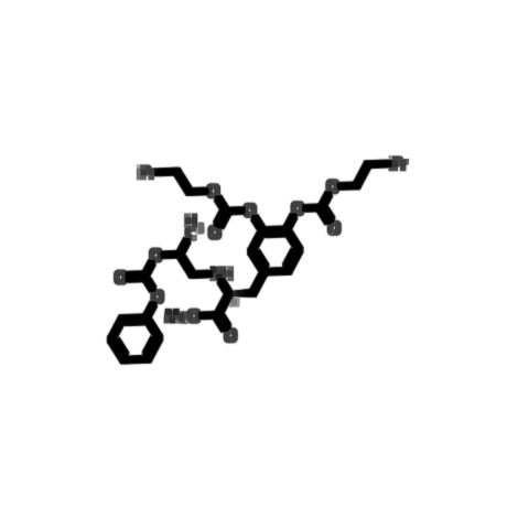 COC(=O)[C@H](Cc1ccc(OC(=O)OCCC(C)C)c(OC(=O)OCCC(C)C)c1)NCC(C)OC(=O)Oc1ccccc1